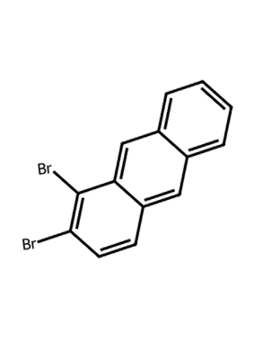 Brc1ccc2cc3ccccc3cc2c1Br